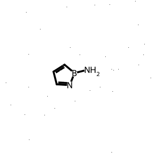 NB1C=CC=N1